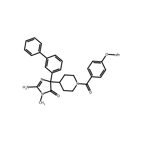 CCCOc1ccc(C(=O)N2CCC(C3(c4cccc(-c5ccccc5)c4)N=C(N)N(C)C3=O)CC2)cc1